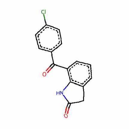 O=C1Cc2cccc(C(=O)c3ccc(Cl)cc3)c2N1